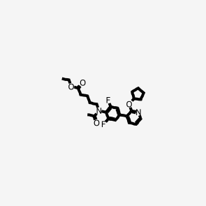 CCOC(=O)CCCCN(C(C)=O)c1c(F)cc(-c2cccnc2OC2CCCC2)cc1F